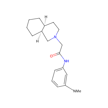 CNc1cccc(NC(=O)CN2CC[C@@H]3CCCC[C@@H]3C2)c1